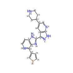 c1cc2[nH]c(-c3n[nH]c4ncc(C5CCNCC5)cc34)nc2c(-c2ccsc2)n1